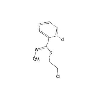 ON=C(SCCCl)c1ccccc1Cl